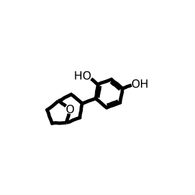 Oc1ccc(C2CC3CCC(C2)O3)c(O)c1